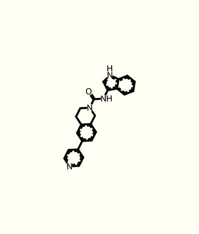 O=C(Nc1c[nH]c2ccccc12)N1CCc2cc(-c3ccncc3)ccc2C1